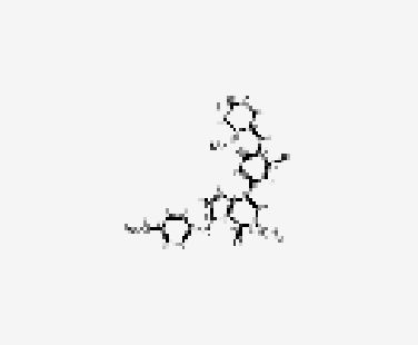 COc1ccc(Cn2ncc3c(-c4cc(F)c(C=C5CCNCC5)c(OC)c4)cn(C)c(=O)c32)cc1